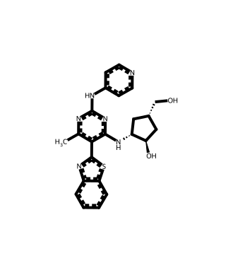 Cc1nc(Nc2ccncc2)nc(N[C@@H]2C[C@H](CO)C[C@H]2O)c1-c1nc2ccccc2s1